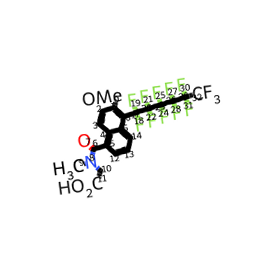 COc1ccc2c(C(=O)N(C)CC(=O)O)cccc2c1C(F)(F)C(F)(F)C(F)(F)C(F)(F)C(F)(F)C(F)(F)F